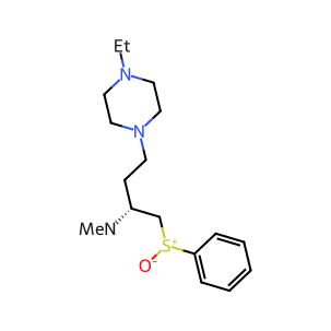 CCN1CCN(CC[C@H](C[S+]([O-])c2ccccc2)NC)CC1